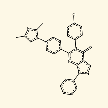 Cc1cn(-c2ccc(-c3nc4c(cnn4-c4ccccc4)c(=O)n3-c3ccc(Cl)cc3)cc2)c(C)n1